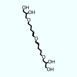 OCC(O)COCCCC=COC=CCCCOCC(O)CO